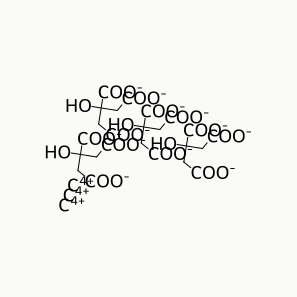 O=C([O-])CC(O)(CC(=O)[O-])C(=O)[O-].O=C([O-])CC(O)(CC(=O)[O-])C(=O)[O-].O=C([O-])CC(O)(CC(=O)[O-])C(=O)[O-].O=C([O-])CC(O)(CC(=O)[O-])C(=O)[O-].[C+4].[C+4].[C+4]